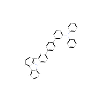 c1ccc(N(c2ccccc2)c2cccc(-c3ccc(-c4ccc5c(c4)c4cccc6c7ccccc7n5c64)cc3)c2)cc1